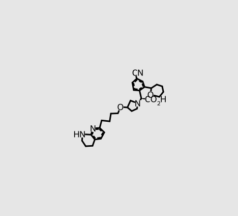 N#Cc1ccc([C@@H](C(=O)O)N2CCC(OCCCCc3ccc4c(n3)NCCC4)C2)c(C2CCCCO2)c1